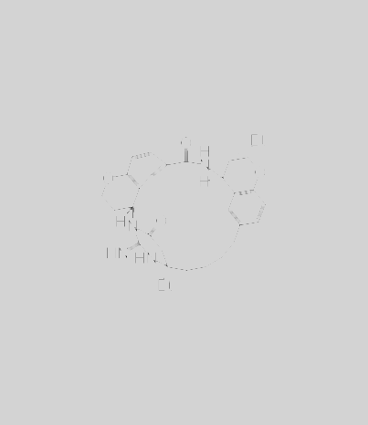 CC[C@H]1C[C@@H]2NC(=O)c3ccc4c(c3)[C@@H](CCO4)N3C(=N)N[C@](CC)(CCCCc4ccc(c2c4)O1)CC3=O